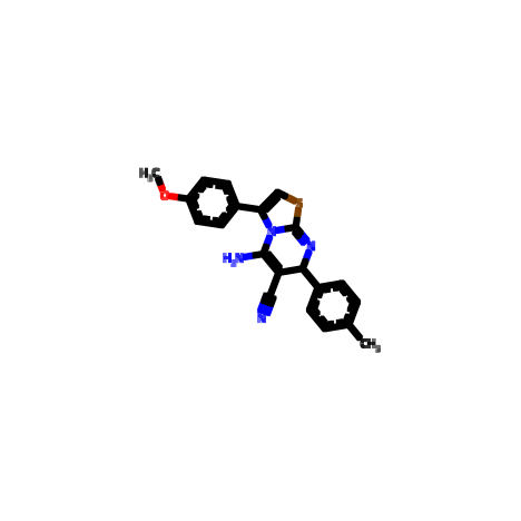 COc1ccc(C2=CSC3=NC(c4ccc(C)cc4)C(C#N)=C(N)N23)cc1